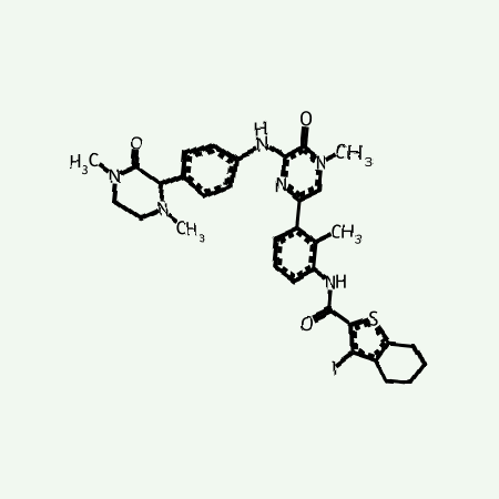 Cc1c(NC(=O)c2sc3c(c2I)CCCC3)cccc1-c1cn(C)c(=O)c(Nc2ccc(C3C(=O)N(C)CCN3C)cc2)n1